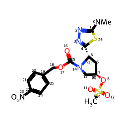 CNc1nnc([C@@H]2C[C@@H](OS(C)(=O)=O)CN2C(=O)OCc2ccc([N+](=O)[O-])cc2)s1